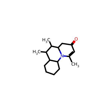 CC1=CC(=O)CC2C(C)C(C)C3CCCCC3N12